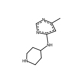 Cc1cc(NC2CCNCC2)ncn1